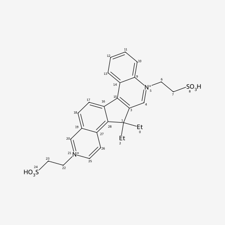 CCC1(CC)c2c[n+](CCS(=O)(=O)O)c3ccccc3c2-c2ccc3c[n+](CCS(=O)(=O)O)ccc3c21